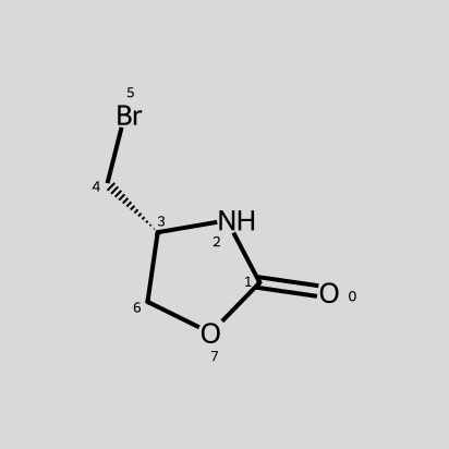 O=C1N[C@@H](CBr)CO1